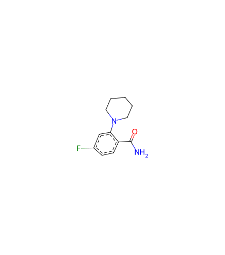 NC(=O)c1ccc(F)cc1N1CCCCC1